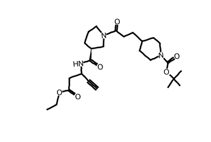 C#CC(CC(=O)OCC)NC(=O)[C@H]1CCCN(C(=O)CCC2CCN(C(=O)OC(C)(C)C)CC2)C1